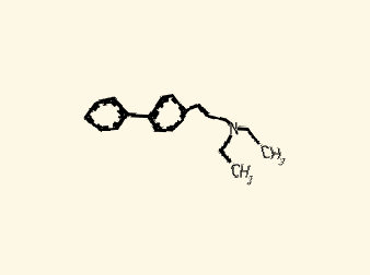 CCN(CC)CC=Cc1ccc(-c2ccccc2)cc1